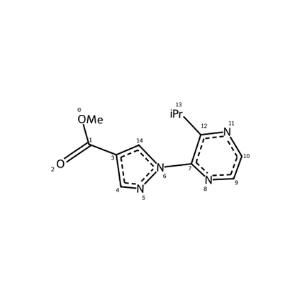 COC(=O)c1cnn(-c2nccnc2C(C)C)c1